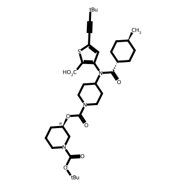 CC(C)(C)C#Cc1cc(N(C(=O)[C@H]2CC[C@H](C)CC2)C2CCN(C(=O)O[C@@H]3CCCN(C(=O)OC(C)(C)C)C3)CC2)c(C(=O)O)s1